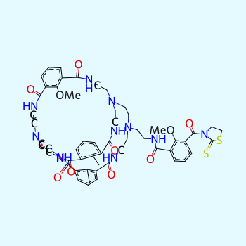 COc1c2cccc1C(=O)NCCN1CCNC(=O)c3cccc(c3C)C(=O)NCCN(CCNC(=O)c3cccc(c3C)C(=O)NCCN(CCNC(=O)c3cccc(C(=O)N4CCSC4=S)c3OC)CC1)CCNC2=O